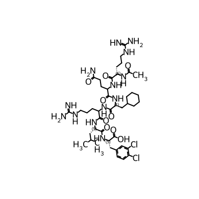 CC(=O)N[C@@H](CCCNC(=N)N)C(=O)NC(CCC(N)=O)C(=O)N[C@@H](CC1CCCCC1)C(=O)NC(CCCNC(=N)N)C(=O)N[C@@H](CC(C)C)C(=O)N[C@@H](Cc1ccc(Cl)c(Cl)c1)C(=O)O